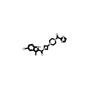 Cc1c(C(=O)N2CC(N3CCN(C(=O)c4nccs4)CC3)C2)[nH]c2ccc(Cl)cc12